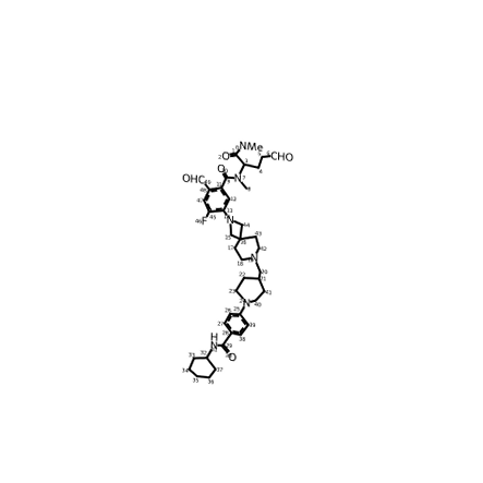 CNC(=O)C(CCC=O)N(C)C(=O)c1cc(N2CC3(CCN(CC4CCN(c5ccc(C(=O)NC6CCCCC6)cc5)CC4)CC3)C2)c(F)cc1C=O